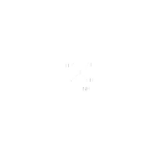 CP(C)(=O)O.N